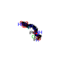 Cc1cc(Nc2ncc(Cl)c(Nc3ccccc3S(=O)(=O)C(C)C)n2)c(OC(C)C)cc1N1CCC(CN2CCN(c3cc4c(cc3F)C(=O)N(C3CCC(=O)NC3=O)C4=O)CC2)CC1